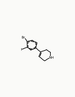 Brc1ccc(C2=CCNCC2)cc1I